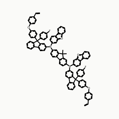 C=Cc1ccc(Oc2ccc(C3(c4ccc(F)cc4)c4ccccc4-c4ccc(N(c5ccc6c(c5)C(C)(C)c5cc(N(c7ccc8c(c7)C(c7ccc(F)cc7)(c7ccc(Oc9ccc(C=C)cc9)cc7)c7ccccc7-8)c7ccc8c(c7)oc7ccccc78)ccc5-6)c5ccc6c(c5)oc5ccccc56)cc43)cc2)cc1